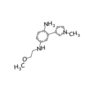 COCCNc1ccc(N)c(-c2ccn(C)c2)c1